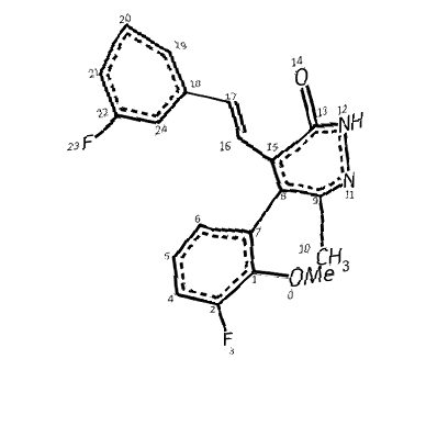 COc1c(F)cccc1-c1c(C)n[nH]c(=O)c1C=Cc1cccc(F)c1